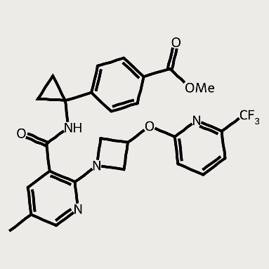 COC(=O)c1ccc(C2(NC(=O)c3cc(C)cnc3N3CC(Oc4cccc(C(F)(F)F)n4)C3)CC2)cc1